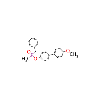 COc1ccc(-c2ccc(OP(C)(=O)Cc3ccccc3)cc2)cc1